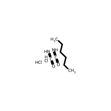 CCCCCC.Cl.Cl.N=C=O.N=C=O